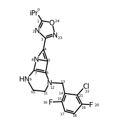 CC(C)c1nc(-c2c3c4c(n2-3)NCCN4Cc2c(F)ccc(F)c2Cl)no1